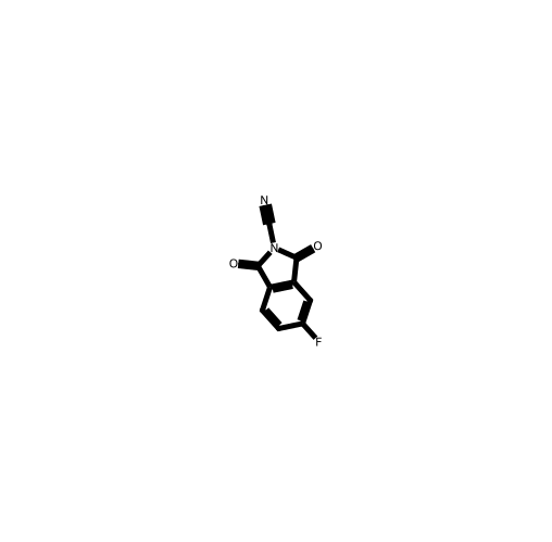 N#CN1C(=O)c2ccc(F)cc2C1=O